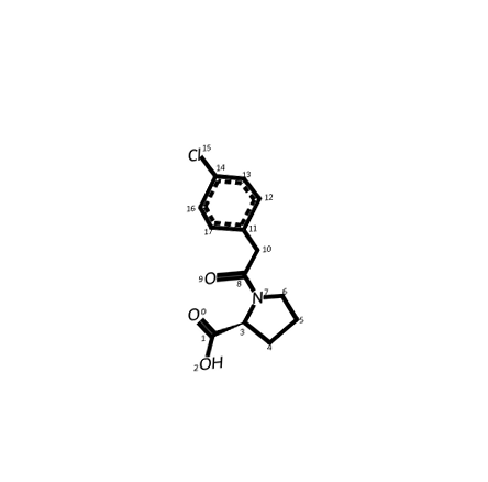 O=C(O)[C@@H]1CCCN1C(=O)Cc1ccc(Cl)cc1